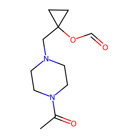 CC(=O)N1CCN(CC2(OC=O)CC2)CC1